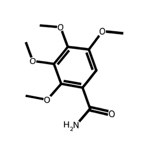 COc1cc(C(N)=O)c(OC)c(OC)c1OC